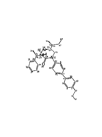 CCCc1ccc(-c2ccc(N(C[C@@H](N)[C@@H](C)CC)C(=O)N[C@H](C)c3ccccc3)cc2)cc1